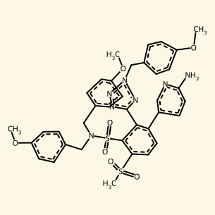 COc1ccc(CN(Cc2ccc(OC)cc2)S(=O)(=O)c2c(S(C)(=O)=O)ccc(-c3ccc(N)nc3)c2-c2nnn(Cc3ccc(OC)cc3)n2)cc1